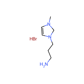 Br.CN1C=CN(CCCN)C1